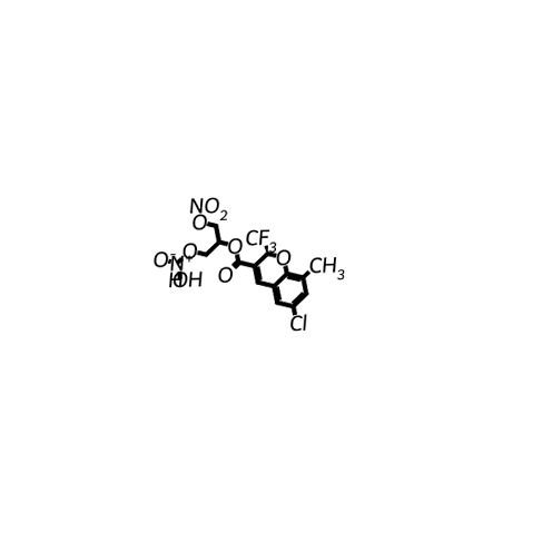 Cc1cc(Cl)cc2c1O[C@H](C(F)(F)F)C(C(=O)OC(CO[N+](=O)[O-])CO[NH+]([O-])O)=C2